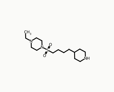 CCN1CCN(S(=O)(=O)CCC[CH]C2CCNCC2)CC1